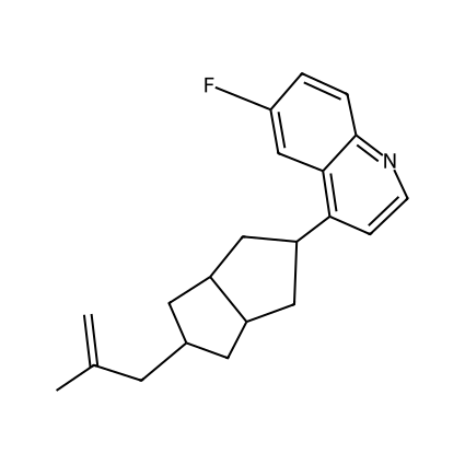 C=C(C)CC1CC2CC(c3ccnc4ccc(F)cc34)CC2C1